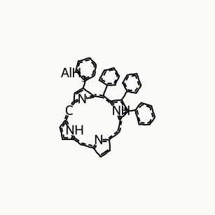 C1=Cc2cc3[nH]c(c(-c4ccccc4)c4nc(cc5ccc(cc1n2)[nH]5)C=C4c1ccccc1)c(-c1ccccc1)c3-c1ccccc1.[AlH3]